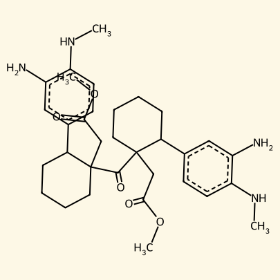 CNc1ccc(C2CCCCC2(CC(=O)OC)C(=O)C2(CC(=O)OC)CCCCC2c2ccc(NC)c(N)c2)cc1N